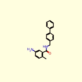 Cc1ccc(N)cc1C(=O)NCc1ccc(-c2ccccc2)cc1